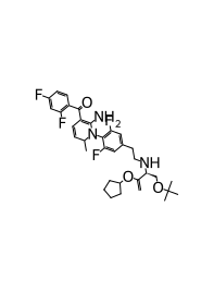 C=C(OC1CCCC1)[C@H](COC(C)(C)C)NCCc1cc(F)c(N2C(N)=C(C(=O)c3ccc(F)cc3F)C=CC2C)c(F)c1